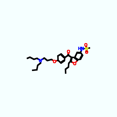 CCCCc1oc2ccc(NS(C)(=O)=O)cc2c1C(=O)C1=CCC(OCCCN(CCCC)CCCC)C=C1